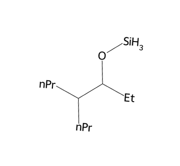 CCCC(CCC)C(CC)O[SiH3]